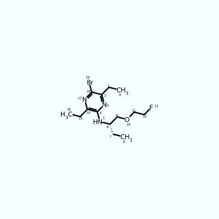 CCc1nc(N[C@@H](CC)COCCF)c(CC)nc1Br